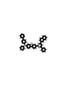 c1ccc(-c2ccc(N(c3ccccc3)c3ccc4c(c3)oc3cc(-c5nc(-c6ccccc6)cc(-c6ccc7ccccc7c6)n5)ccc34)cc2)cc1